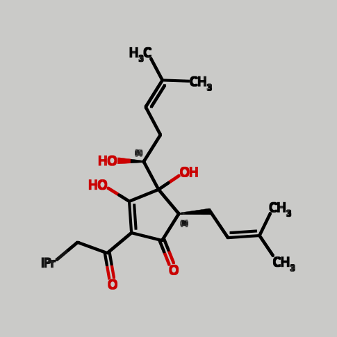 CC(C)=CC[C@H](O)C1(O)C(O)=C(C(=O)CC(C)C)C(=O)[C@@H]1CC=C(C)C